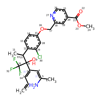 C=C/C=C(\C=C(\C)N)C(O)(C(C)c1ccc(OCc2cc(C(=O)OC)ccn2)cc1Cl)C(F)(F)F